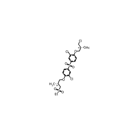 CCS(=O)(=O)C[C@H](C)COc1ccc(S(=O)(=O)c2ccc(OC[C@H](CCl)OC(C)=O)c(Cl)c2)cc1Cl